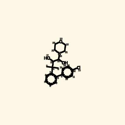 CC(C)(c1ccccc1-c1ccc(Cl)cc1)C(O)C(O)N1CCOCC1